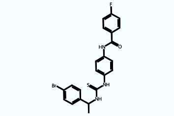 CC(NC(=S)Nc1ccc(NC(=O)c2ccc(F)cc2)cc1)c1ccc(Br)cc1